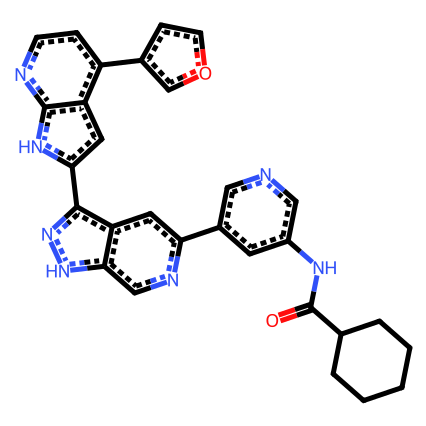 O=C(Nc1cncc(-c2cc3c(-c4cc5c(-c6ccoc6)ccnc5[nH]4)n[nH]c3cn2)c1)C1CCCCC1